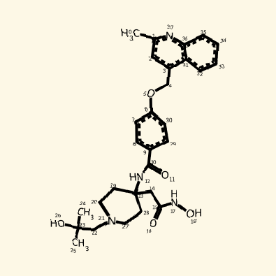 Cc1cc(COc2ccc(C(=O)NC3(CC(=O)NO)CCN(CC(C)(C)O)CC3)cc2)c2ccccc2n1